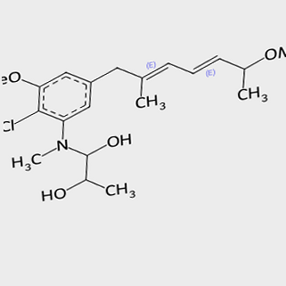 COc1cc(C/C(C)=C/C=C/C(C)OC)cc(N(C)C(O)C(C)O)c1Cl